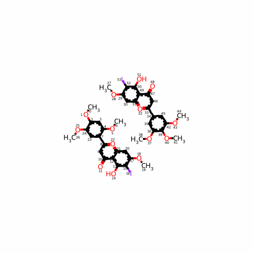 COc1cc(OC)c(-c2cc(=O)c3c(O)c(I)c(OC)cc3o2)cc1OC.COc1cc2oc(-c3cc(OC)c(OC)c(OC)c3)cc(=O)c2c(O)c1I